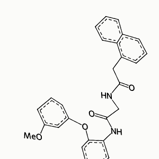 COc1cccc(Oc2ccccc2NC(=O)CNC(=O)Cc2cccc3ccccc23)c1